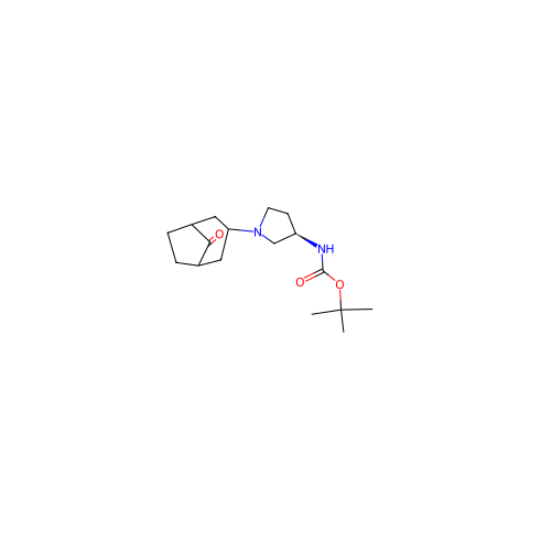 CC(C)(C)OC(=O)N[C@@H]1CCN(C2CC3CCC(C2)C3=O)C1